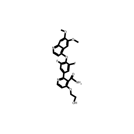 COc1cc2nccc(Oc3c(F)cc(-c4nccc(OCCO)c4C(N)=O)cc3F)c2cc1OC